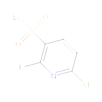 CCS(=O)(=O)c1ccc(Cl)n[c]1[K]